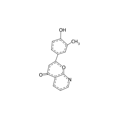 Cc1cc(-c2cc(=O)c3cccnc3o2)ccc1O